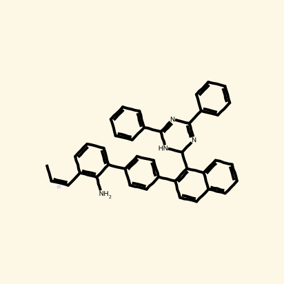 C/C=C\c1cccc(-c2ccc(-c3ccc4ccccc4c3C3N=C(c4ccccc4)N=C(c4ccccc4)N3)cc2)c1N